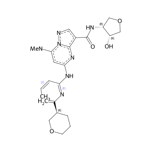 C=C(/N=C(\C=C/C)Nc1cc(NC)n2ncc(C(=O)N[C@@H]3COC[C@@H]3O)c2n1)[C@H]1CCCOC1